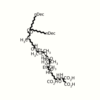 CCCCCCCCCCCCCCCCCCC1(CCCCCCCCCCCCCCCCCC)OCC(CCN(C)CCCCCC(=O)NCC(C)(CC)OCC(C)(C)OCCNC(=O)C(C)(C)COC(C)(CC)CC(=O)NCCCC[C@@H](NC(=O)N[C@H](CCC(=O)O)C(=O)O)C(=O)O)O1